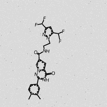 Cc1ccc(-c2nn3cc(C(=O)NCCn4nc(C(F)F)cc4C(F)F)cc3c(=O)[nH]2)cc1C